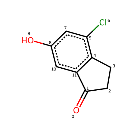 O=C1CCc2c(Cl)cc(O)cc21